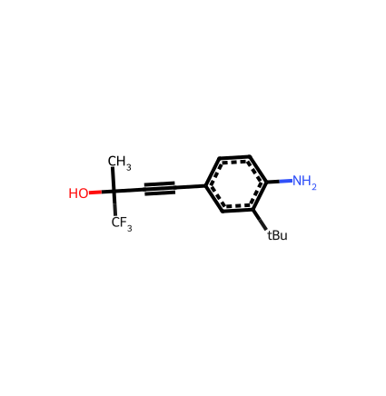 CC(C)(C)c1cc(C#CC(C)(O)C(F)(F)F)ccc1N